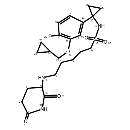 O=C1CCC(NCCCCCS(=O)(=O)NC2(c3ccc(F)c(OCC4CC4)c3)CC2)C(=O)N1